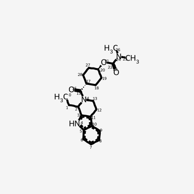 CCC1c2[nH]c3ccccc3c2CCN1C(=O)[C@H]1CC[C@H](OC(=O)N(C)C)CC1